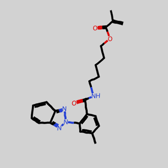 C=C(C)C(=O)OCCCCCNC(=O)c1ccc(C)cc1-n1nc2ccccc2n1